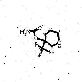 NC(=O)OC1(C(F)(F)F)CCCOC1